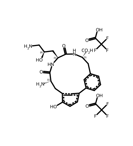 NC[C@H](O)C[C@@H]1NC(=O)[C@@H](N)Cc2cc(ccc2O)-c2cccc(c2)C[C@@H](C(=O)O)NC1=O.O=C(O)C(F)(F)F.O=C(O)C(F)(F)F